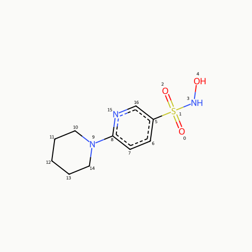 O=S(=O)(NO)c1ccc(N2CCCCC2)nc1